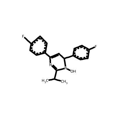 CC(C)C1=NC(c2ccc(F)cc2)=CC(c2ccc(F)cc2)N1O